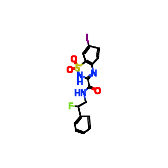 O=C(NCC(F)c1ccccc1)C1=Nc2ccc(I)cc2S(=O)(=O)N1